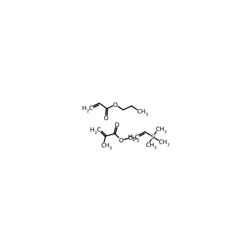 C=C(C)C(=O)OC.C=CC(=O)OCCC.C=C[Si](C)(C)C